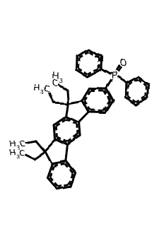 CCC1(CC)c2ccccc2-c2cc3c(cc21)C(CC)(CC)c1cc(P(=O)(c2ccccc2)c2ccccc2)ccc1-3